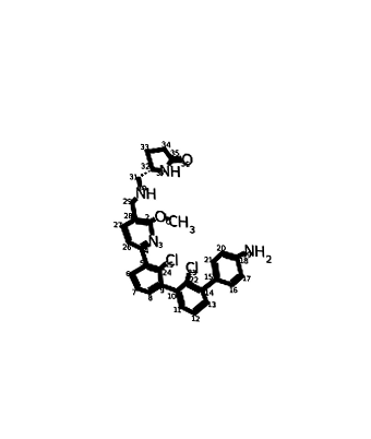 COc1nc(-c2cccc(-c3cccc(-c4ccc(N)cc4)c3Cl)c2Cl)ccc1CNC[C@@H]1CCC(=O)N1